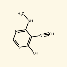 C#[N+]c1c(O)ncnc1NC